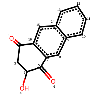 O=C1CC(O)C(=O)c2cc3ccccc3cc21